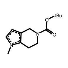 Cn1ccc2c1CCN(C(=O)OC(C)(C)C)C2